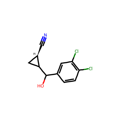 N#C[C@@H]1CC1C(O)c1ccc(Cl)c(Cl)c1